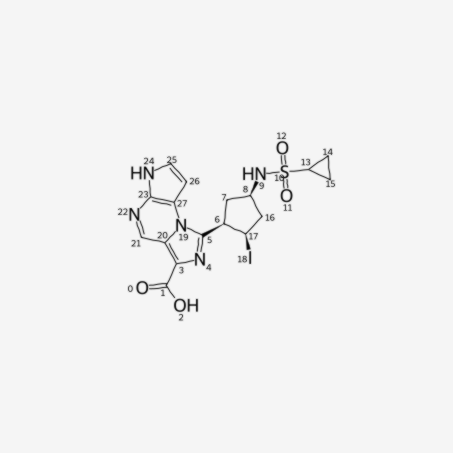 O=C(O)c1nc([C@H]2C[C@@H](NS(=O)(=O)C3CC3)C[C@H]2I)n2c1cnc1[nH]ccc12